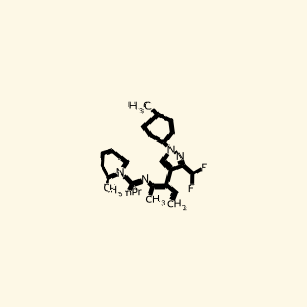 C=C/C(=C(C)/N=C(\CCC)N1CCCC[C@@H]1C)c1cn(C2CCC(C)CC2)nc1C(F)F